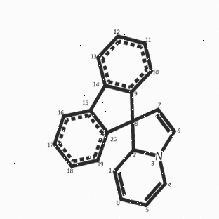 C1=CC2N(C=C1)C=CC21c2ccccc2-c2ccccc21